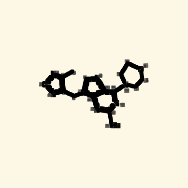 Cc1nonc1Cn1cnc2c(N3CCOCC3)nc(C(C)(C)C)nc21